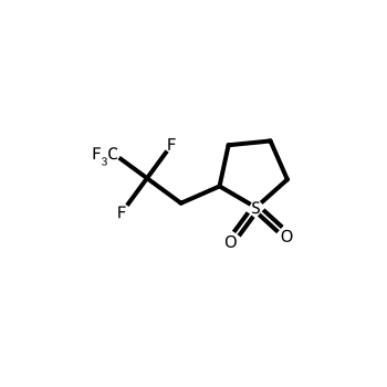 O=S1(=O)CCCC1CC(F)(F)C(F)(F)F